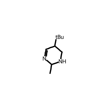 CC1N=CC(C(C)(C)C)CN1